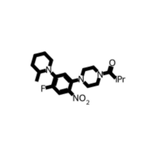 CC(C)C(=O)N1CCN(c2cc(N3CCCCC3C)c(F)cc2[N+](=O)[O-])CC1